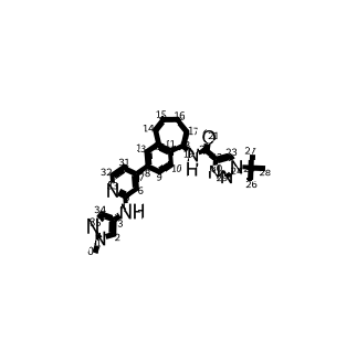 Cn1cc(Nc2cc(-c3ccc4c(c3)CCCCC4NC(=O)c3cn(C(C)(C)C)nn3)ccn2)cn1